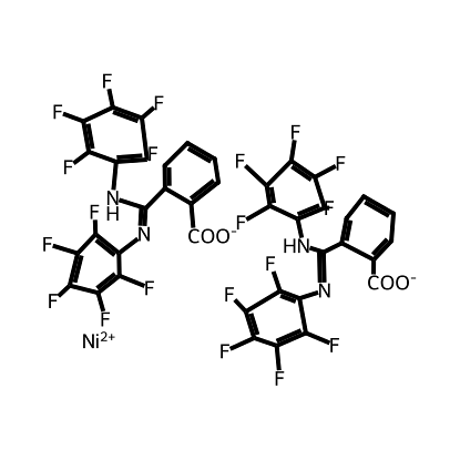 O=C([O-])c1ccccc1C(=Nc1c(F)c(F)c(F)c(F)c1F)Nc1c(F)c(F)c(F)c(F)c1F.O=C([O-])c1ccccc1C(=Nc1c(F)c(F)c(F)c(F)c1F)Nc1c(F)c(F)c(F)c(F)c1F.[Ni+2]